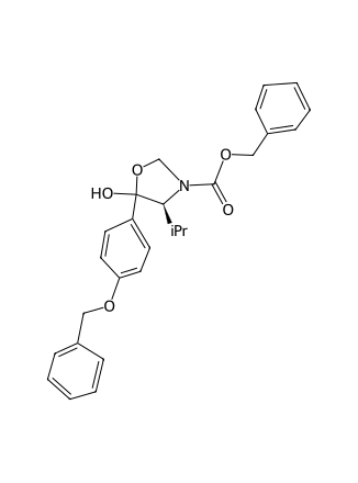 CC(C)[C@@H]1N(C(=O)OCc2ccccc2)COC1(O)c1ccc(OCc2ccccc2)cc1